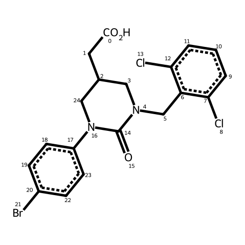 O=C(O)CC1CN(Cc2c(Cl)cccc2Cl)C(=O)N(c2ccc(Br)cc2)C1